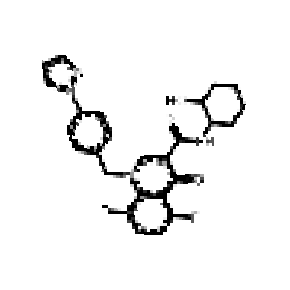 O=C(NC1CCCCC1O)c1cn(Cc2ccc(-n3cccn3)cc2)c2c(F)ccc(F)c2c1=O